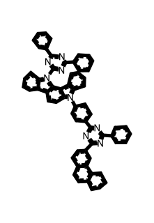 c1ccc(-c2nc(-c3ccc(-n4c5ccccc5c5c4ccc4c6ccccc6n(-c6nc(-c7ccccc7)nc(-c7ccccc7)n6)c45)cc3)nc(-c3ccc4ccc5ccccc5c4c3)n2)cc1